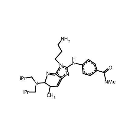 CNC(=O)c1ccc(Nc2nc3c(n2CCCN)=NC(N(CC(C)C)CC(C)C)C(C)C=3)cc1